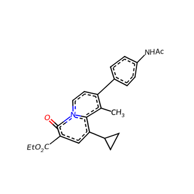 CCOC(=O)c1cc(C2CC2)c2c(C)c(-c3ccc(NC(C)=O)cc3)ccn2c1=O